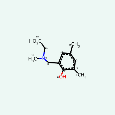 Cc1cc(C)c(O)c(CN(C)CC(=O)O)c1